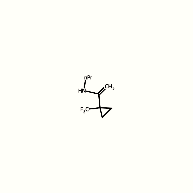 C=C(NCCC)C1(C(F)(F)F)CC1